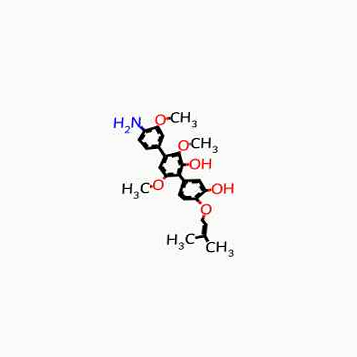 COc1cc(-c2cc(OC)c(-c3ccc(OCC=C(C)C)c(O)c3)c(O)c2OC)ccc1N